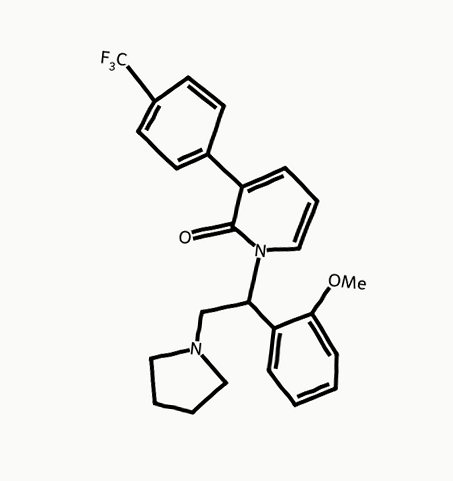 COc1ccccc1C(CN1CCCC1)n1cccc(-c2ccc(C(F)(F)F)cc2)c1=O